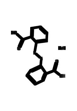 O=C(O)c1ccccc1SSc1ccccc1C(=O)O.[NaH]